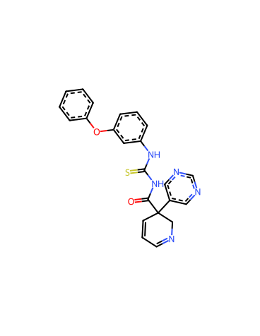 O=C(NC(=S)Nc1cccc(Oc2ccccc2)c1)C1(c2cncnc2)C=CC=NC1